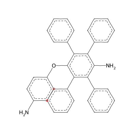 Nc1ccc(Oc2c(-c3ccccc3)c(-c3ccccc3)c(N)c(-c3ccccc3)c2-c2ccccc2)cc1